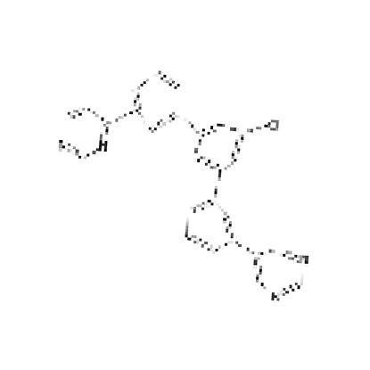 Clc1cc(-c2cccc(-c3cncnc3)c2)cc(-c2cccc(-c3ccncn3)c2)c1